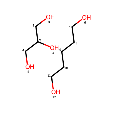 OCC(O)CO.OCCCCCO